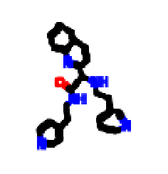 O=C(NCCc1ccncc1)C(NCCc1cccnc1)c1ccc2ccccc2n1